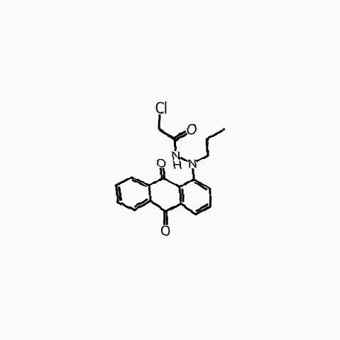 CCCN(NC(=O)CCl)c1cccc2c1C(=O)c1ccccc1C2=O